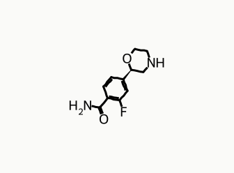 NC(=O)c1ccc([C@@H]2CNCCO2)cc1F